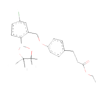 CCOC(=O)CCc1ccc(OCc2cc(F)ccc2B2OC(C)(C)C(C)(C)O2)cc1